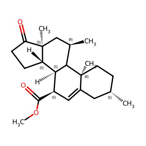 COC(=O)[C@@H]1C=C2C[C@@H](C)CC[C@]2(C)C2[C@@H]1[C@@H]1CCC(=O)[C@@]1(C)C[C@H]2C